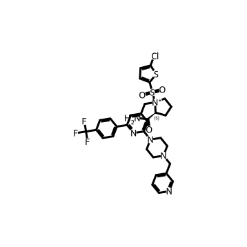 NC(=O)[C@@H]1CCC[N+]1(Cc1cc(-c2ccc(C(F)(F)F)cc2)nc(N2CCN(Cc3cccnc3)CC2)c1)S(=O)(=O)c1ccc(Cl)s1